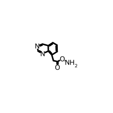 NOC(=O)Cc1cccc2cncnc12